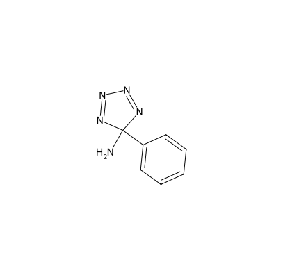 NC1(c2ccccc2)N=NN=N1